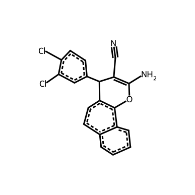 N#CC1=C(N)Oc2c(ccc3ccccc23)C1c1ccc(Cl)c(Cl)c1